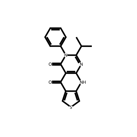 CC(C)c1nc2[nH]c3cscc3c(=O)c2c(=O)n1-c1ccccc1